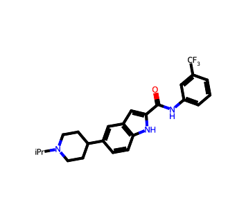 CC(C)N1CCC(c2ccc3[nH]c(C(=O)Nc4cccc(C(F)(F)F)c4)cc3c2)CC1